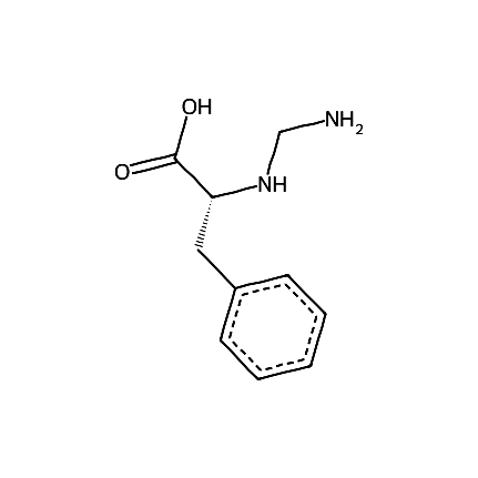 NCN[C@H](Cc1ccccc1)C(=O)O